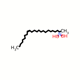 CCCCCCCC/C=C\CCCCCCCCCCCCC(C)N(O)O